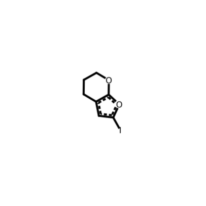 Ic1cc2c(o1)OCCC2